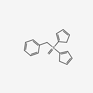 [CH2]=[Ti]([CH2]c1ccccc1)([C]1=CC=CC1)[C]1=CC=CC1